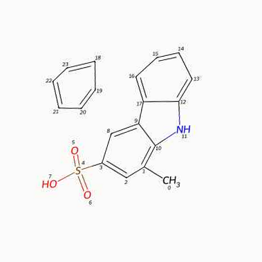 Cc1cc(S(=O)(=O)O)cc2c1[nH]c1ccccc12.c1ccccc1